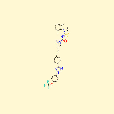 Cc1cccc(C)c1-n1c(C)cs/c1=N\C(=O)NCCCCc1ccc(-c2ncn(-c3ccc(OC(F)(F)F)cc3)n2)cc1